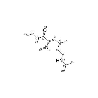 C=N/C(=C\N(C)CCNC(C)C)C(=O)OCC